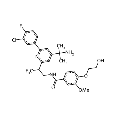 COc1cc(C(=O)NCC(c2cc(C(C)(C)N)cc(-c3ccc(F)c(Cl)c3)n2)C(F)(F)F)ccc1OCCO